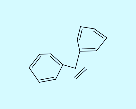 C=C.c1ccc(Cc2ccccc2)cc1